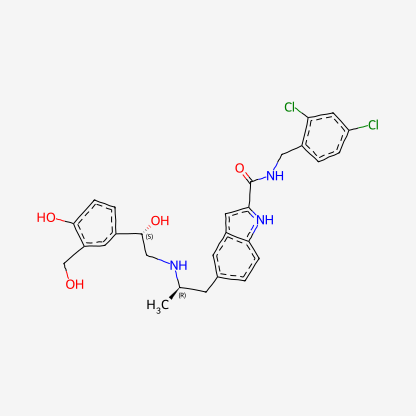 C[C@H](Cc1ccc2[nH]c(C(=O)NCc3ccc(Cl)cc3Cl)cc2c1)NC[C@@H](O)c1ccc(O)c(CO)c1